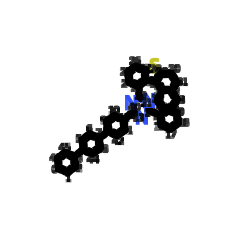 c1ccc(-c2ccc(-c3ccc(-c4nc(-c5ccccc5)nc(-c5cccc6sc7ccc8ccccc8c7c56)n4)cc3)cc2)cc1